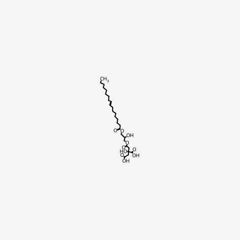 CCCCCCCC/C=C/CCCCCCCC(=O)OCC(O)COC(=O)CC(O)(CC(=O)O)C(=O)O